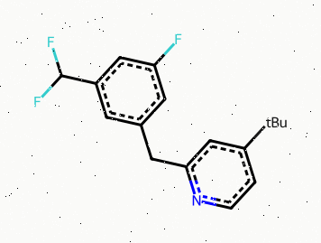 CC(C)(C)c1ccnc(Cc2cc(F)cc(C(F)F)c2)c1